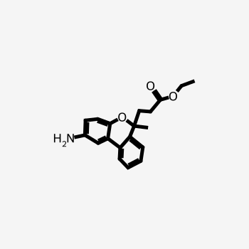 CCOC(=O)CCC1(C)Oc2ccc(N)cc2-c2ccccc21